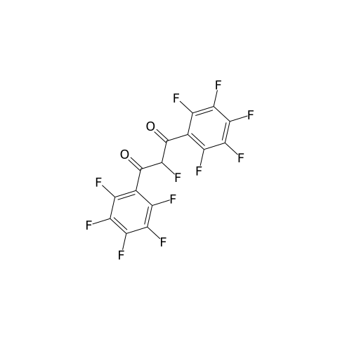 O=C(c1c(F)c(F)c(F)c(F)c1F)C(F)C(=O)c1c(F)c(F)c(F)c(F)c1F